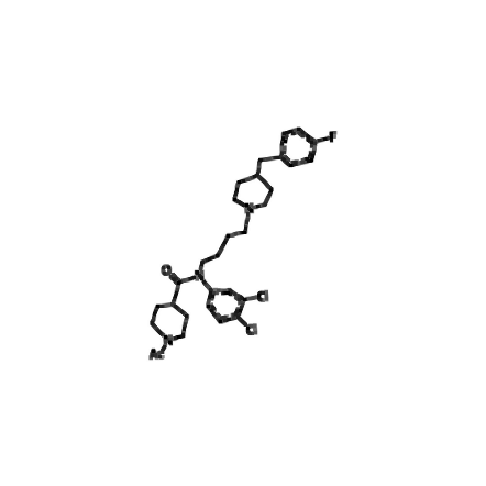 CC(=O)N1CCC(C(=O)N(CCCCN2CCC(Cc3ccc(F)cc3)CC2)c2ccc(Cl)c(Cl)c2)CC1